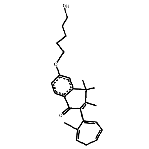 CC1=CCC=CC=C1C1=C(C)C(C)(C)c2cc(OCCCCCO)ccc2C1=O